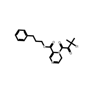 CCC(C)(C)C(=O)C(=O)N1CC=NC=C1C(=O)OCCCc1ccccc1